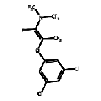 F/C(=C(\Oc1cc(Cl)cc(Cl)c1)C(F)(F)F)N(C(F)(F)F)C(F)(F)F